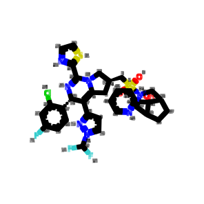 O=S(=O)(C[C@H]1CC2=C(c3ccn(C(F)F)n3)[C@H](c3ccc(F)cc3Cl)N=C(c3nccs3)N2C1)N1CC2CCC(C1)C2(O)c1ccccn1